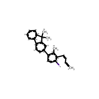 C=C/C=C\c1c(I)ccc(-c2ccc3c(c2)C(C)(C)c2ccccc2-3)c1C